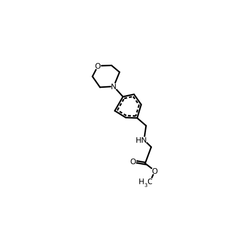 COC(=O)CNCc1ccc(N2CCOCC2)cc1